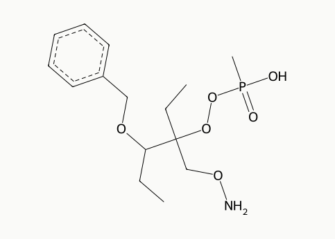 CCC(OCc1ccccc1)C(CC)(CON)OOP(C)(=O)O